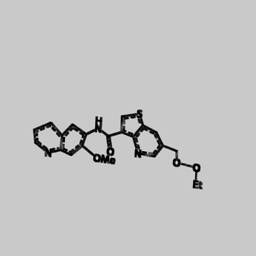 CCOOCc1cnc2c(C(=O)Nc3cc4cccnc4cc3OC)csc2c1